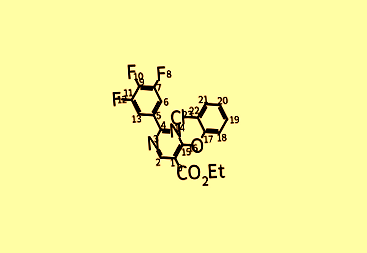 CCOC(=O)c1cnc(-c2cc(F)c(F)c(F)c2)nc1Oc1ccccc1Cl